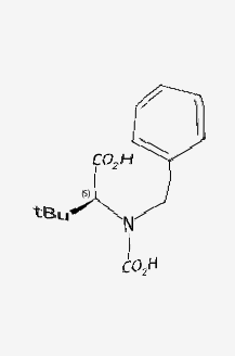 CC(C)(C)[C@@H](C(=O)O)N(Cc1ccccc1)C(=O)O